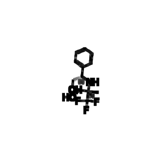 C[C@@](CO)(N[C@H](CO)c1ccccc1)C(F)(F)F